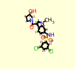 Cn1cc(C(=O)N2CCC(O)C2)c2ccc(NS(=O)(=O)c3cc(Cl)cc(Cl)c3)cc21